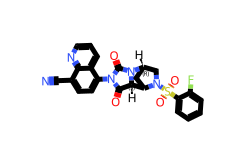 N#Cc1ccc(N2C(=O)[C@@H]3C4C[C@H](CN4S(=O)(=O)c4ccccc4F)N3C2=O)c2cccnc12